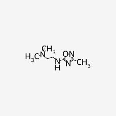 Cc1noc(NCCN(C)C)n1